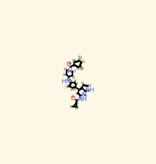 O=C(Nc1cc(-c2ccc(NC3CCN(C(=O)c4cc(F)cc(F)c4)CC3)c(F)c2)c2cc[nH]c2n1)C1CC1